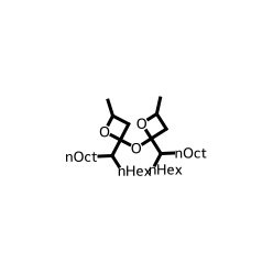 CCCCCCCCC(CCCCCC)C1(OC2(C(CCCCCC)CCCCCCCC)CC(C)O2)CC(C)O1